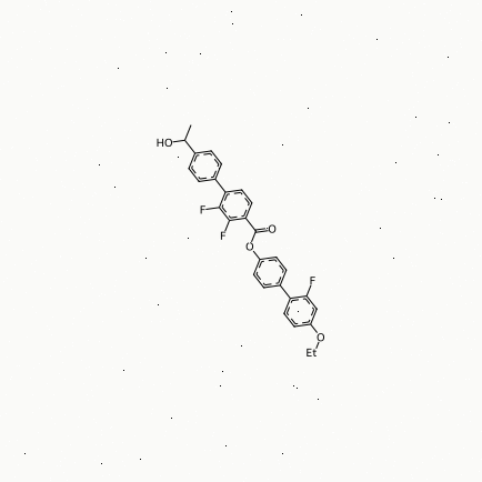 CCOc1ccc(-c2ccc(OC(=O)c3ccc(-c4ccc(C(C)O)cc4)c(F)c3F)cc2)c(F)c1